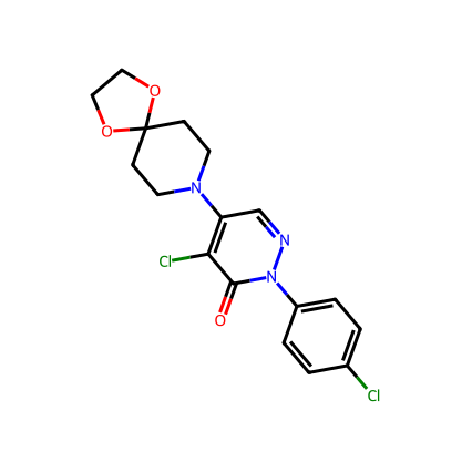 O=c1c(Cl)c(N2CCC3(CC2)OCCO3)cnn1-c1ccc(Cl)cc1